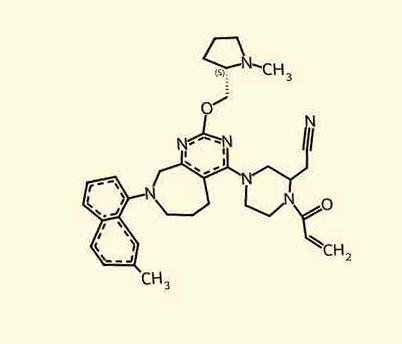 C=CC(=O)N1CCN(c2nc(OC[C@@H]3CCCN3C)nc3c2CCCN(c2cccc4ccc(C)cc24)C3)CC1CC#N